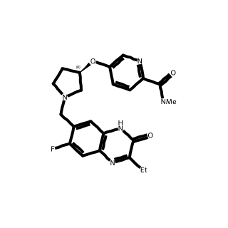 CCc1nc2cc(F)c(CN3CC[C@@H](Oc4ccc(C(=O)NC)nc4)C3)cc2[nH]c1=O